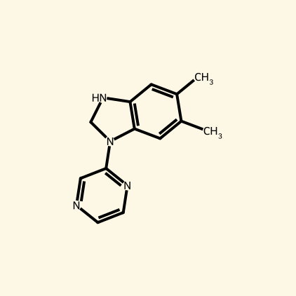 Cc1cc2c(cc1C)N(c1cnccn1)CN2